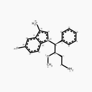 CO[C@H](CCN)[C@H](c1ccccc1)n1cc(C)c2cc(F)ccc21